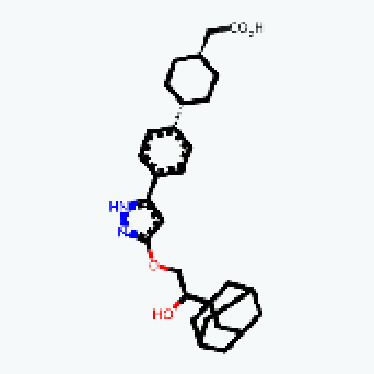 O=C(O)C[C@H]1CC[C@H](c2ccc(-c3cc(OCC(O)C45CC6CC(CC(C6)C4)C5)n[nH]3)cc2)CC1